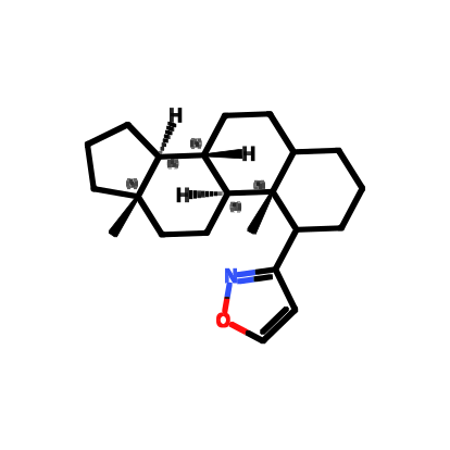 C[C@@]12CCC[C@H]1[C@@H]1CCC3CCCC(c4ccon4)[C@]3(C)[C@H]1CC2